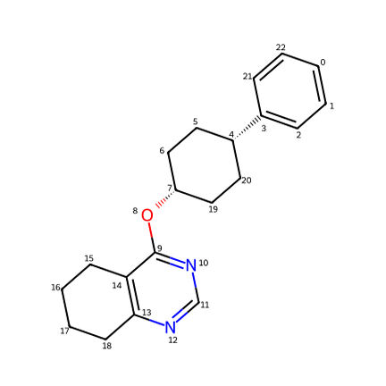 c1ccc([C@H]2CC[C@@H](Oc3ncnc4c3CCCC4)CC2)cc1